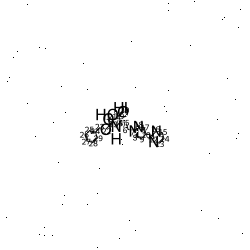 I.O=C(N[C@@H](CC[n+]1ccc(-c2ncccn2)cn1)C(=O)O)OCc1ccccc1